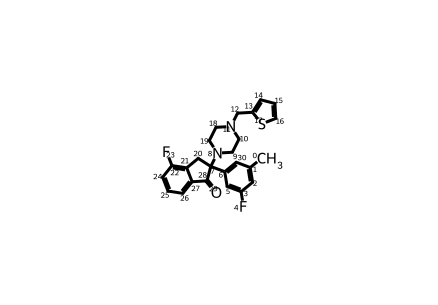 Cc1cc(F)cc(C2(N3CCN(Cc4cccs4)CC3)Cc3c(F)cccc3C2=O)c1